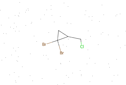 ClCC1CC1(Br)Br